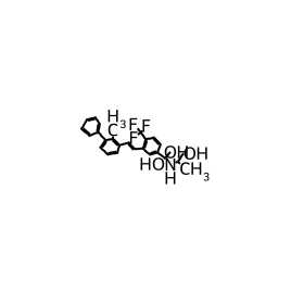 Cc1c(/C=C/c2cc(C(O)(O)NC(C)CO)ccc2C(F)(F)F)cccc1-c1ccccc1